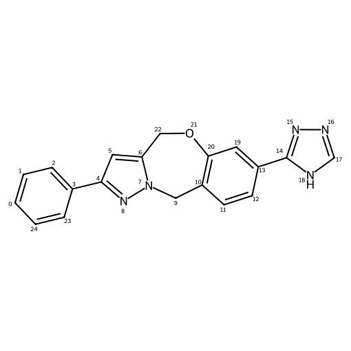 c1ccc(-c2cc3n(n2)Cc2ccc(-c4nnc[nH]4)cc2OC3)cc1